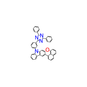 c1ccc(-c2nc(-c3ccccc3)nc(-c3cccc(-n4c5ccccc5c5cc6c(cc54)Oc4cccc5cccc-6c45)c3)n2)cc1